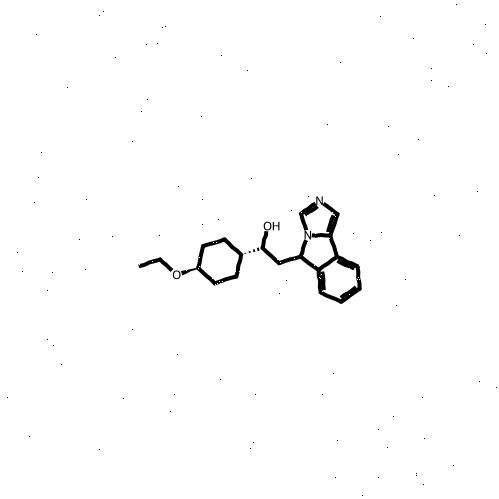 CCO[C@H]1CC[C@H](C(O)CC2c3ccccc3-c3cncn32)CC1